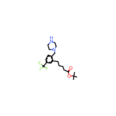 CC(C)(C)OC(=O)CCCCc1cc(C(F)(F)F)ccc1CN1CCNCC1